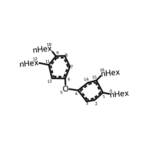 CCCCCCc1ccc(Oc2ccc(CCCCCC)c(CCCCCC)c2)cc1CCCCCC